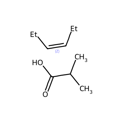 CC(C)C(=O)O.CC/C=C\CC